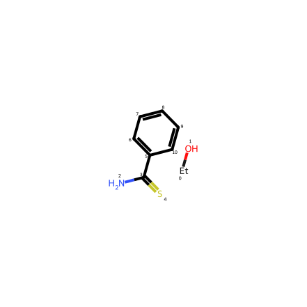 CCO.NC(=S)c1ccccc1